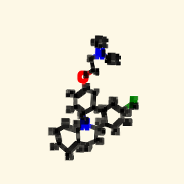 CCN(CC)CCOc1ccc(N2c3ccccc3CCC2c2ccc(F)cc2)cc1